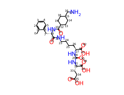 Cc1ccccc1C[C@H](NC(=O)C1CCC(CN)CC1)C(=O)NCCCC[C@H](NC(=O)N[C@@H](CCC(=O)O)C(=O)O)C(=O)O